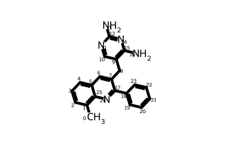 Cc1cccc2cc(Cc3cnc(N)nc3N)c(-c3ccccc3)nc12